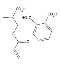 C=CC(=O)OCC(C)C(=O)O.O=C(O)c1ccccc1C(=O)O